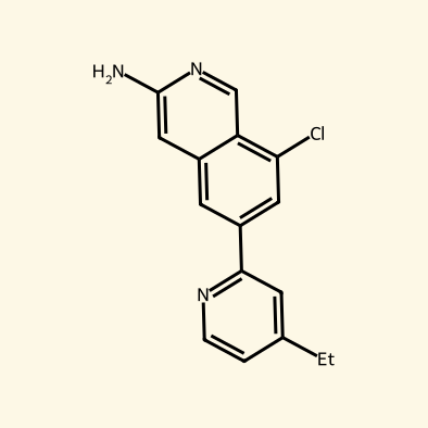 CCc1ccnc(-c2cc(Cl)c3cnc(N)cc3c2)c1